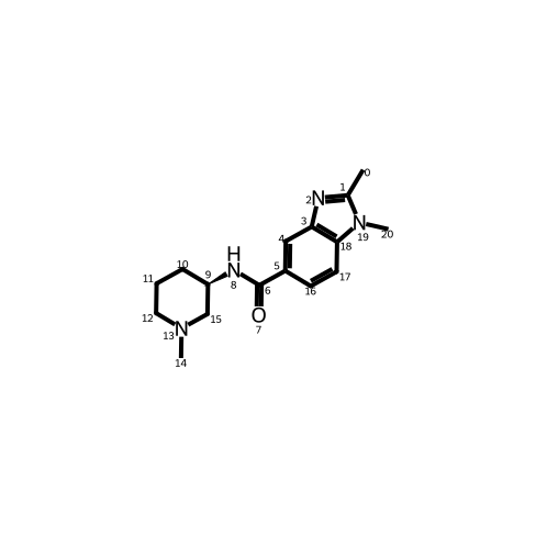 Cc1nc2cc(C(=O)N[C@@H]3CCCN(C)C3)ccc2n1C